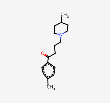 Cc1ccc(C(=O)CCCN2CCC(C)CC2)cc1